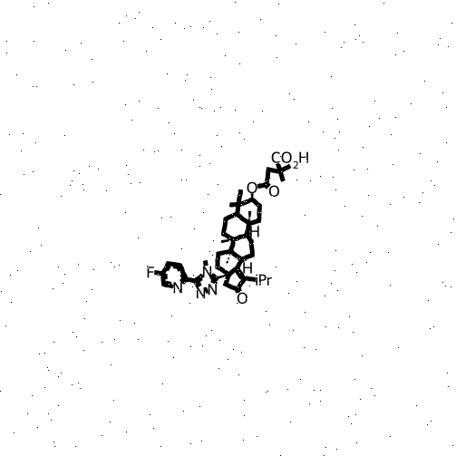 CC(C)C1=C2[C@H]3CC[C@@H]4[C@@]5(C)CC[C@H](OC(=O)CC(C)(C)C(=O)O)C(C)(C)C5CC[C@@]4(C)[C@]3(C)CC[C@@]2(c2nnc(-c3ccc(F)cn3)n2C)CC1=O